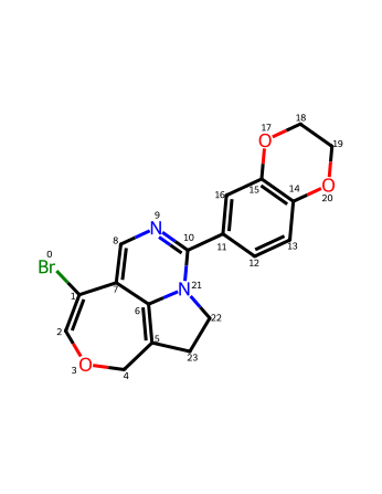 BrC1=COCC2=C3C1=CN=C(c1ccc4c(c1)OCCO4)N3CC2